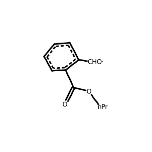 CCCOC(=O)c1ccccc1[C]=O